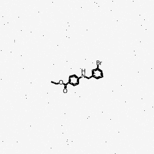 CCOC(=O)c1ccc(NCc2cccc(Br)c2)cc1